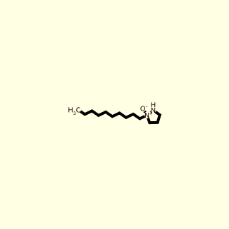 CCCCCCCCCC[N+]1([O-])CCCN1